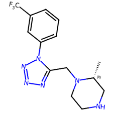 C[C@@H]1CNCCN1Cc1nnnn1-c1cccc(C(F)(F)F)c1